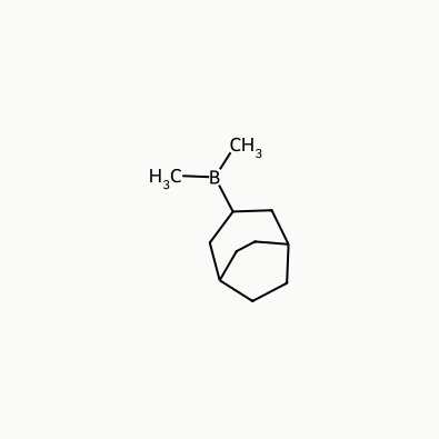 CB(C)C1CC2CCC(CC2)C1